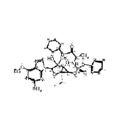 CCOc1nc(N)nc2c1ncn2[C@@H]1O[C@]2(CF)C(OP(=O)(N[C@@H](C)C(=O)OC3CCCCC3)Oc3ccccc3)[C@]2(O)[C@@]1(C)O